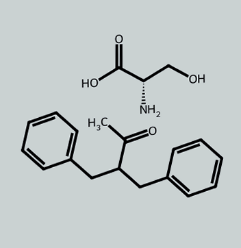 CC(=O)C(Cc1ccccc1)Cc1ccccc1.N[C@@H](CO)C(=O)O